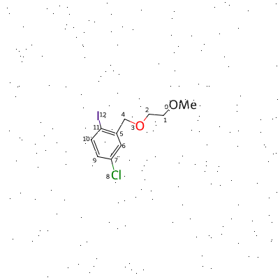 COCCOCc1cc(Cl)ccc1I